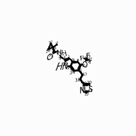 CC1(C(=O)NCc2cc3cc(OC(F)(F)F)c(CCc4cscn4)cc3[nH]2)CC1